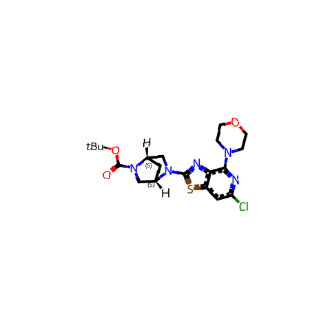 CC(C)(C)OC(=O)N1C[C@@H]2C[C@H]1CN2c1nc2c(N3CCOCC3)nc(Cl)cc2s1